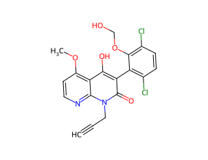 C#CCn1c(=O)c(-c2c(Cl)ccc(Cl)c2OCO)c(O)c2c(OC)ccnc21